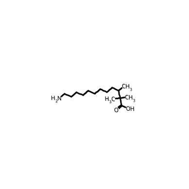 CC(CCCCCCCCCN)C(C)(C)C(=O)O